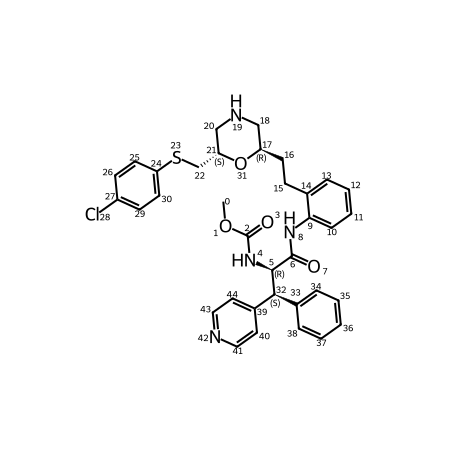 COC(=O)N[C@@H](C(=O)Nc1ccccc1CC[C@@H]1CNC[C@@H](CSc2ccc(Cl)cc2)O1)[C@@H](c1ccccc1)c1ccncc1